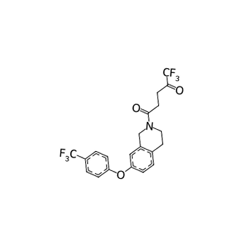 O=C(CCC(=O)C(F)(F)F)N1CCc2ccc(Oc3ccc(C(F)(F)F)cc3)cc2C1